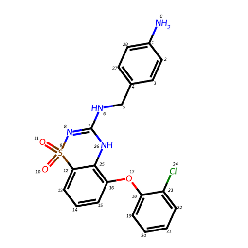 Nc1ccc(CNC2=NS(=O)(=O)c3cccc(Oc4ccccc4Cl)c3N2)cc1